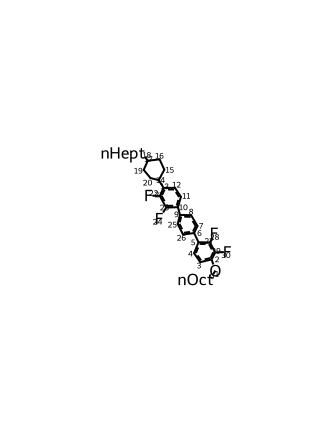 CCCCCCCCOc1ccc(-c2ccc(-c3ccc(C4CCC(CCCCCCC)CC4)c(F)c3F)cc2)c(F)c1F